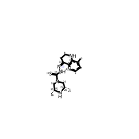 Cc1ccnc2c1NCC/C2=N/NC(=S)N1C[C@@H](C)N[C@@H](C)C1